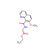 CCOC(=O)CNC(=O)c1c(OC)ccc2cccnc12